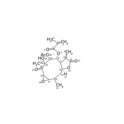 C=C(C)C(=O)OC1C2C(=C)C(=O)O[C@H]2CC(C)C2OC2C(=O)C(C)(O)C1OC(C)=O